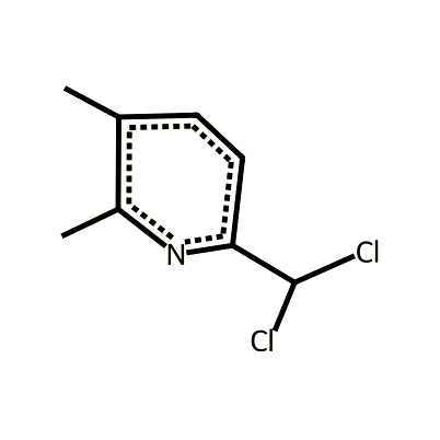 Cc1ccc(C(Cl)Cl)nc1C